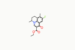 CCOC(=O)c1cn2c3c(c(C)c(F)cc3c1=O)CCC2C